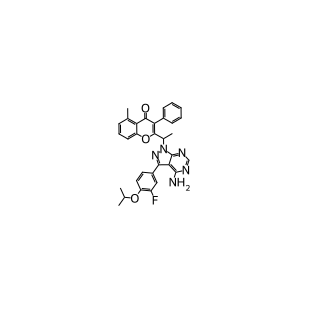 Cc1cccc2oc(C(C)n3nc(-c4ccc(OC(C)C)c(F)c4)c4c(N)ncnc43)c(-c3ccccc3)c(=O)c12